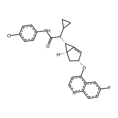 O=C(Nc1ccc(Cl)cc1)C(C1CC1)[C@@H]1C2=C[C@H](Oc3ccnc4ccc(F)cc34)C[C@H]21